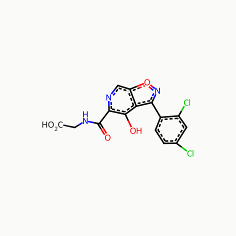 O=C(O)CNC(=O)c1ncc2onc(-c3ccc(Cl)cc3Cl)c2c1O